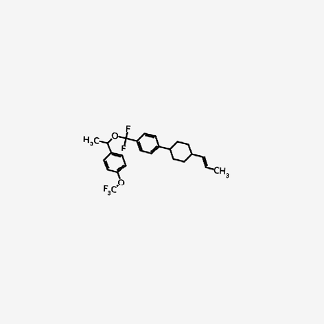 C/C=C/C1CCC(c2ccc(C(F)(F)OC(C)c3ccc(OC(F)(F)F)cc3)cc2)CC1